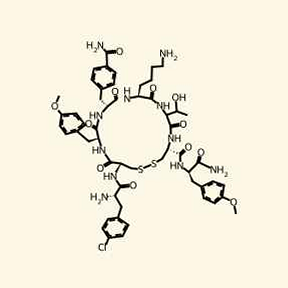 COc1ccc(C[C@@H]2NC(=O)[C@H](NC(=O)[C@@H](N)Cc3ccc(Cl)cc3)CSSC[C@@H](C(=O)N[C@H](Cc3ccc(OC)cc3)C(N)=O)NC(=O)C(C(C)O)NC(=O)[C@H](CCCCN)NC(=O)[C@@H](Cc3ccc(C(N)=O)cc3)NC2=O)cc1